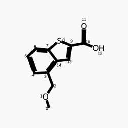 COCc1cccc2sc(C(=O)O)cc12